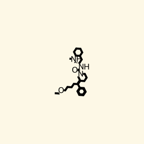 CCOCCCC/C(=C1/CCCN(C(=O)N[C@H](CNC)CC2CCCCC2)C1)c1ccccc1